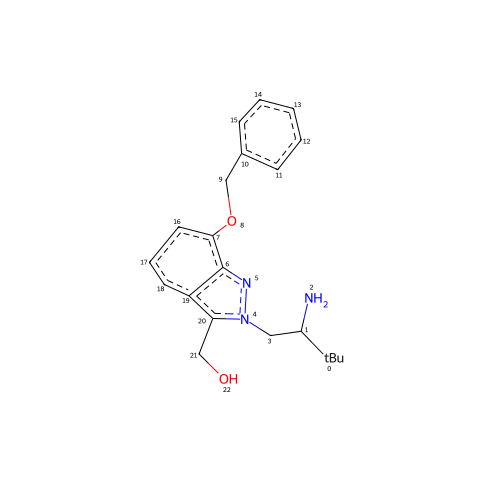 CC(C)(C)C(N)Cn1nc2c(OCc3ccccc3)cccc2c1CO